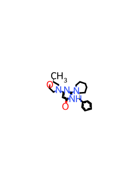 C[C@@H]1CN(c2cc(=O)[nH]c(N3CCCCC[C@@H]3Cc3ccccc3)n2)CCO1